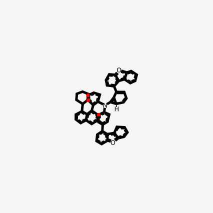 C1=C[C@@H]2C(=C2N(c2ccc(-c3cccc4oc5ccccc5c34)cc2)c2ccccc2-c2cccc3cccc(C4CCCCC4)c23)C(c2cccc3oc4ccccc4c23)=C1